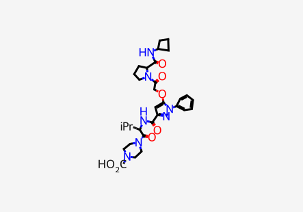 CC(C)C(NC(=O)c1cc(OCC(=O)N2CCCC2C(=O)NC2CCC2)n(-c2ccccc2)n1)C(=O)N1CCN(C(=O)O)CC1